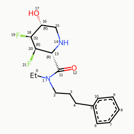 CCN(CCCc1ccccc1)C(=O)[C@H]1NC[C@@H](O)[C@H](F)[C@@H]1F